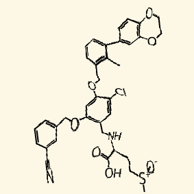 Cc1c(COc2cc(OCc3cccc(C#N)c3)c(CN[C@@H](CC[S+](C)[O-])C(=O)O)cc2Cl)cccc1-c1ccc2c(c1)OCCO2